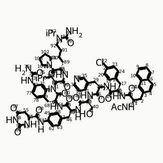 CC(=O)N[C@H](Cc1ccc2ccccc2c1)C(=O)N[C@H](Cc1ccc(Cl)cc1)C(=O)N[C@H](Cc1cccnc1)C(=O)N[C@@H](CO)C(=O)N[C@@H](Cc1ccc(NC(=O)[C@@H]2CC(=O)NC(=O)N2)cc1)C(=O)N[C@H](Cc1ccc(NC(N)=O)cc1)C(=O)N[C@@H](CC(C)C)C(=O)N[C@@H](CCCCN(C(N)=O)C(C)C)C(=O)N1CCCC1